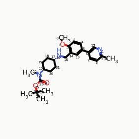 COc1ccc(-c2ccc(C)nc2)cc1CN[C@H]1CC[C@H](N(C)C(=O)OC(C)(C)C)CC1